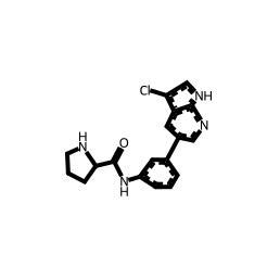 O=C(Nc1cccc(-c2cnc3[nH]cc(Cl)c3c2)c1)C1CCCN1